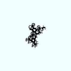 CCOC(=O)N1c2cc3c(cc2[C@@H](N(Cc2cc(C(F)(F)F)cc(C(F)(F)F)c2)C(=O)OC)C[C@H]1C)COC3=O